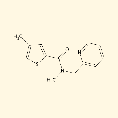 Cc1csc(C(=O)N(C)Cc2ccccn2)c1